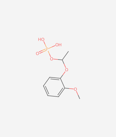 COc1ccccc1OC(C)OP(=O)(O)O